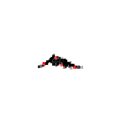 CCCCOCCC[Si](C)(C)C(C)(CC)O[Si](C)(C)[C@](C)(CC)O[Si](C)(C)CCCCOCCC